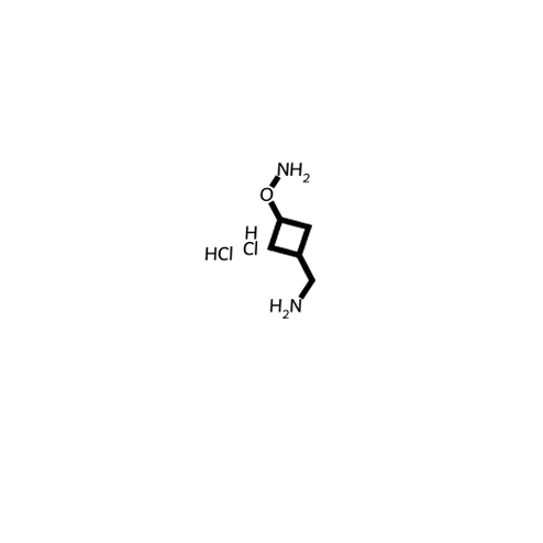 Cl.Cl.NCC1CC(ON)C1